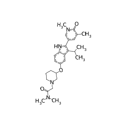 Cc1cc(-c2[nH]c3ccc(OC4CCCN(CC(=O)N(C)C)C4)cc3c2C(C)C)cn(C)c1=O